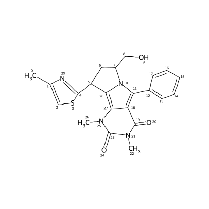 Cc1csc(C2CC(CO)n3c(-c4ccccc4)c4c(=O)n(C)c(=O)n(C)c4c32)n1